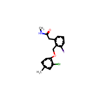 CNC(=O)Cc1cccc(I)c1COc1ccc(C)cc1Br